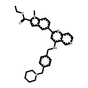 CCOC(=O)c1cc2cc(-c3cc(NCc4ccc(CN5CCCCC5)cc4)c4cnccc4n3)ccc2n1C